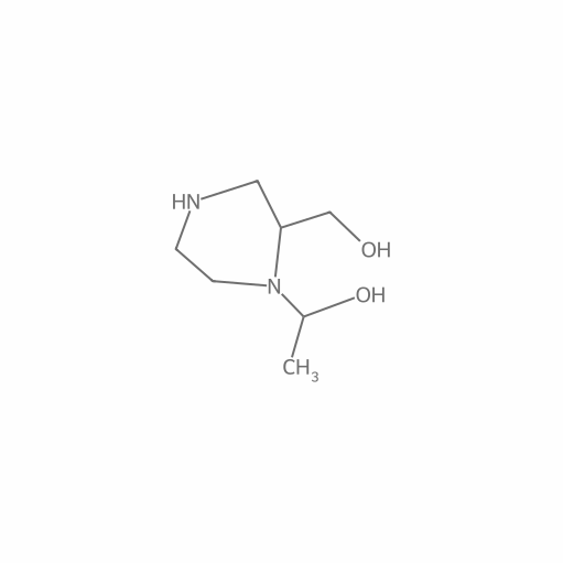 CC(O)N1CCNCC1CO